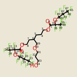 O=C(OCCCC(CCOC(=O)C(F)(OC(F)(F)C(F)(F)C(F)(F)F)C(F)(F)F)COCCCO)C(F)(OC(F)(F)C(F)(F)C(F)(F)F)C(F)(F)F